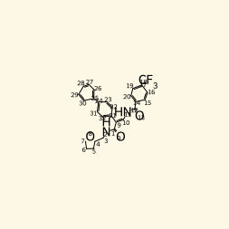 O=C(NCC1CCCO1)C(=CNC(=O)c1ccc(C(F)(F)F)cc1)c1ccc(-c2ccccc2)cc1